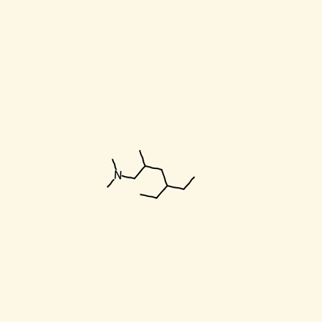 CCC(CC)CC(C)CN(C)C